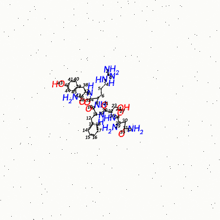 N=C(N)NCCCC(NC(=O)C(Cc1ccccc1)NC(=O)C(CO)NC(=O)C(N)CC(N)=O)C(=O)NC(Cc1ccc(O)cc1)C(N)=O